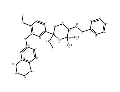 CCc1ccc(C2(OC)CCC(OCc3ccccc3)C(O)(O)O2)cc1Cc1ccc2c(c1)OCCO2